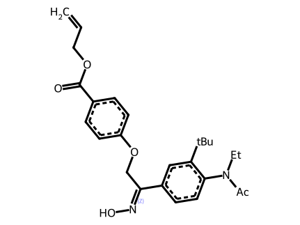 C=CCOC(=O)c1ccc(OC/C(=N\O)c2ccc(N(CC)C(C)=O)c(C(C)(C)C)c2)cc1